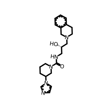 O=C(NC[C@H](O)CN1CCc2ccccc2C1)N1CCCC(n2ccnc2)C1